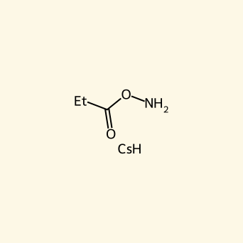 CCC(=O)ON.[CsH]